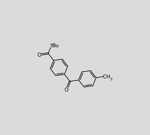 Cc1ccc(C(=O)c2ccc(C(=O)C(C)(C)C)cc2)cc1